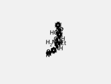 CCOc1nc(Nc2ccc(-c3cnco3)cc2)cc(N)c1C(=O)Nc1ccc(C(=O)Oc2ccccc2)c(O)c1